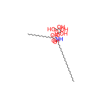 CCCCCCCCCCCCCCCCCCCCCCCCCC(=O)N[C@@H](COC1OC(CO)C(O)C(O)C1O)C(O)[C@H](O)CCCCCCCCCCCCCC